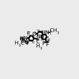 CCNc1cc(C(F)(F)F)ccc1/C=C\C(=O)N[C@H](C)c1cc(F)c(NS(C)(=O)=O)c(F)c1